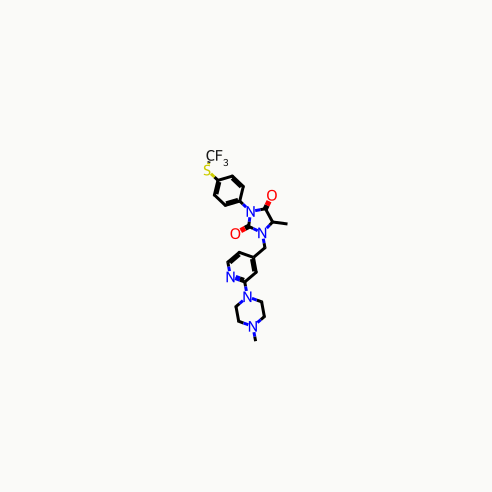 CC1C(=O)N(c2ccc(SC(F)(F)F)cc2)C(=O)N1Cc1ccnc(N2CCN(C)CC2)c1